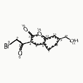 O=C(CBr)c1cc2ccc(CO)cc2oc1=O